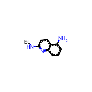 CCNc1ccc2c(N)cccc2n1